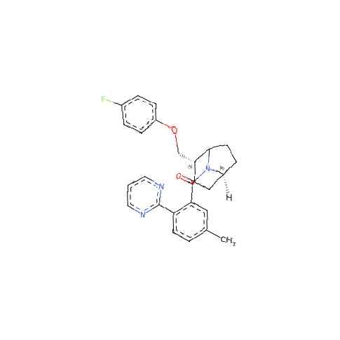 Cc1ccc(-c2ncccn2)c(C(=O)N2C3CC[C@H]2CC[C@@H]3COc2ccc(F)cc2)c1